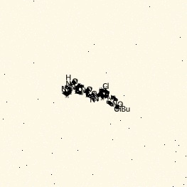 CC(C)COC(=O)N1CCN(c2cc(Cl)cc(-c3nnc(CC(=O)N4CCC(n5c(=O)[nH]c6ncccc65)CC4)o3)c2)CC1